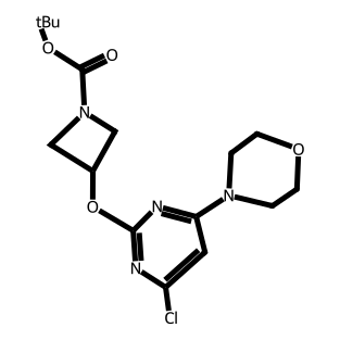 CC(C)(C)OC(=O)N1CC(Oc2nc(Cl)cc(N3CCOCC3)n2)C1